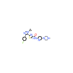 CN1CCN(c2ccc(NC(=O)c3csc(-c4c(-c5ccc(F)cc5)ncn4C4CC4)n3)nc2)CC1